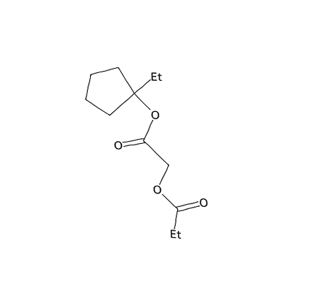 CCC(=O)OCC(=O)OC1(CC)CCCC1